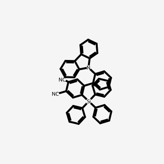 N#Cc1cc(-c2ccccc2-n2c3ccccc3c3ccccc32)c([Si](c2ccccc2)(c2ccccc2)c2ccccc2)cc1C#N